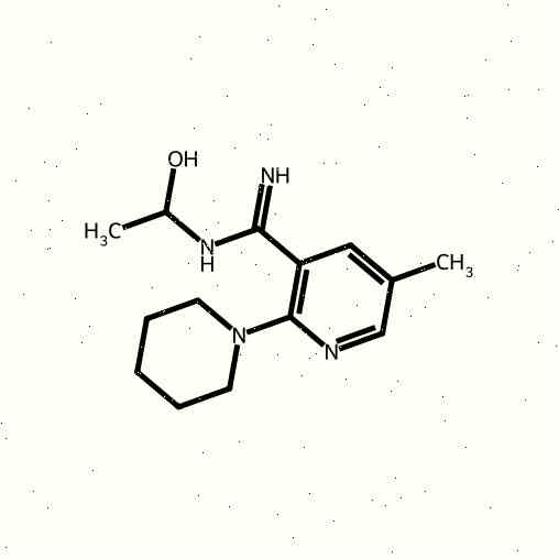 Cc1cnc(N2CCCCC2)c(C(=N)NC(C)O)c1